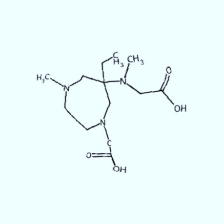 CCC1(N(C)CC(=O)O)CN(C)CCN(CC(=O)O)C1